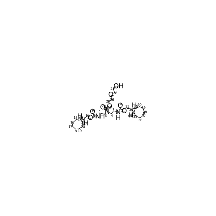 O=C(NCCN(CCNC(=O)OC[C@@H]1[C@@H]2CCCCCC[C@@H]21)C(=O)OCCOCCO)OC[C@@H]1[C@@H]2CCC#CCC[C@@H]21